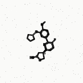 COc1ccc(-c2nc([C@H]3COB(O)C3)ccc2F)cc1OC1CCCC1